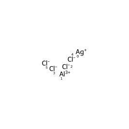 [Ag+].[Al+3].[Cl-].[Cl-].[Cl-].[Cl-]